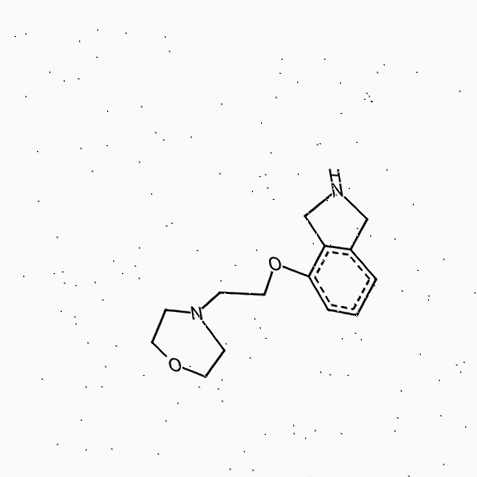 c1cc2c(c(OCCN3CCOCC3)c1)CNC2